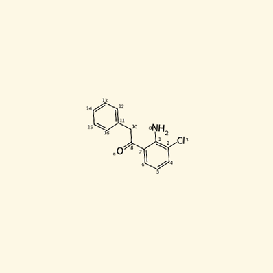 Nc1c(Cl)cccc1C(=O)Cc1ccccc1